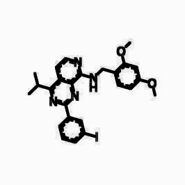 COc1ccc(CNc2nccc3c(C(C)C)nc(-c4cccc(I)c4)nc23)c(OC)c1